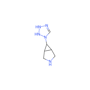 C1=NNNN1C1C2CNCC21